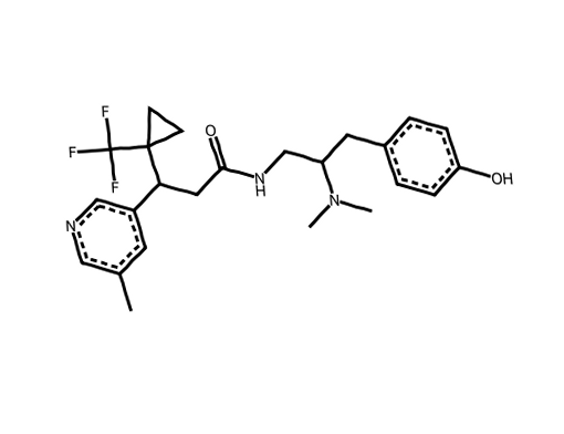 Cc1cncc(C(CC(=O)NCC(Cc2ccc(O)cc2)N(C)C)C2(C(F)(F)F)CC2)c1